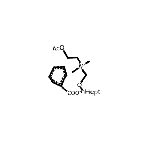 CCCCCCCOC[N+](C)(C)CCOC(C)=O.O=C([O-])c1ccccc1